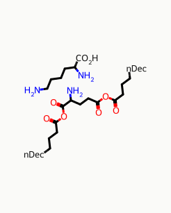 CCCCCCCCCCCCCC(=O)OC(=O)CCC(N)C(=O)OC(=O)CCCCCCCCCCCCC.NCCCCC(N)C(=O)O